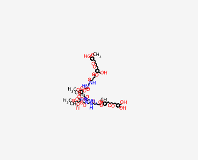 COc1cc(CC(=O)CC(=O)Cc2ccc(OC(=O)CCCC(=O)NCCNC(=O)CO[C@@H]3[C@@H](O)[C@@H](OC(C)C)O[C@H](CO[C@H]4O[C@H](COC(C)C)[C@@H](O)[C@H](OCC(=O)NCCNC(=O)CCCC(=O)Oc5ccc(CC(=O)CC(=O)Cc6ccc(O)c(CO)c6)cc5OC)[C@H]4O)[C@H]3CCC(=O)NCCN)c(CO)c2)ccc1O